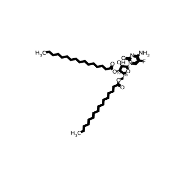 CCCCCCCCCCCCCCCC(=O)OC[C@H]1O[C@@H](n2cc(F)c(N)nc2=O)[C@@H](O)[C@@H]1OC(=O)CCCCCCCCCCCCCCC